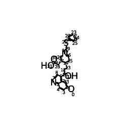 COc1ccc2nccc([C@@H](O)CC[C@@H]3CCN(CCSc4ccsc4)C[C@@H]3CC(=O)O)c2c1